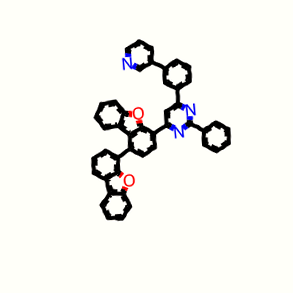 c1ccc(-c2nc(-c3cccc(-c4cccnc4)c3)cc(-c3ccc(-c4cccc5c4oc4ccccc45)c4c3oc3ccccc34)n2)cc1